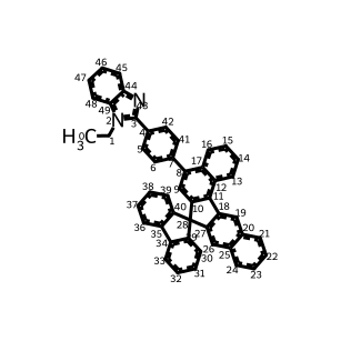 CCn1c(-c2ccc(-c3cc4c(c5ccccc35)-c3cc5ccccc5cc3C43c4ccccc4-c4ccccc43)cc2)nc2ccccc21